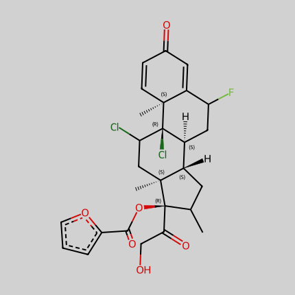 CC1C[C@H]2[C@@H]3CC(F)C4=CC(=O)C=C[C@]4(C)[C@@]3(Cl)C(Cl)C[C@]2(C)[C@@]1(OC(=O)c1ccco1)C(=O)CO